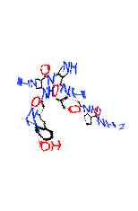 CN[C@H](CC(=O)NC1CNCC1C(=O)NC1CNCC1C(=O)N[C@H](CC(=O)NC1CCCC1C(N)=O)C(C)C)Cc1ccc(O)cc1